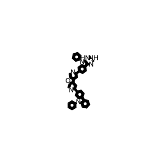 C1=Nc2c(n(-c3ccccc3)c3cc(-c4cc5c(cn4)oc4cnc(-c6ccc7c8ccccc8n(-c8ccccc8)c7c6)cc45)ccc23)NN1